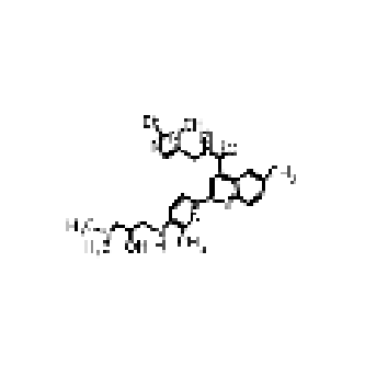 CCc1ncc(CN(C)C(=O)c2cc(-c3ccc(NCC(O)CN(C)C)c(C)n3)nc3ccc(C)cc23)n1C